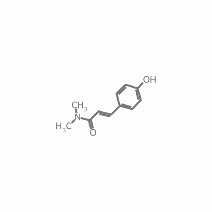 CN(C)C(=O)/C=C/c1ccc(O)cc1